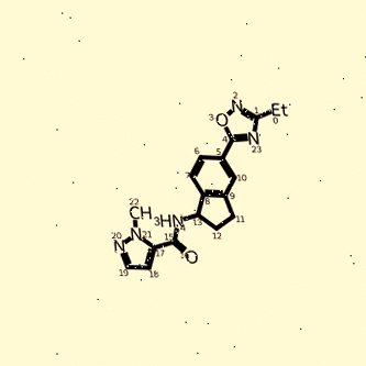 CCc1noc(-c2ccc3c(c2)CCC3NC(=O)c2ccnn2C)n1